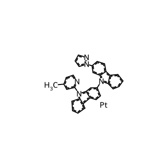 Cc1ccnc(-n2c3ccccc3c3ccc(-n4c5ccccc5c5ccc(-n6cccn6)cc54)cc32)c1.[Pt]